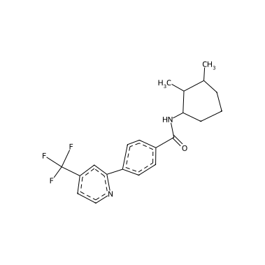 CC1CCCC(NC(=O)c2ccc(-c3cc(C(F)(F)F)ccn3)cc2)C1C